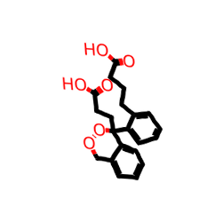 O=C(O)CCCc1ccccc1C1(CCC(=O)O)OOCc2ccccc21